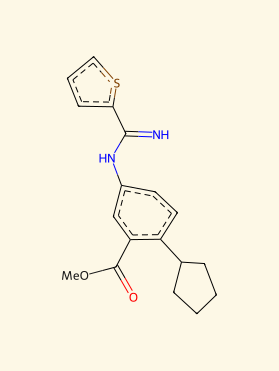 COC(=O)c1cc(NC(=N)c2cccs2)ccc1C1CCCC1